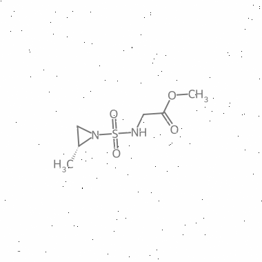 COC(=O)CNS(=O)(=O)N1C[C@H]1C